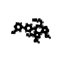 CC(=O)c1cncc(-c2ccc(C3=N[C@@H](CC(=O)O)c4nnc(C)n4-c4sc(C)c(C)c43)cc2)c1